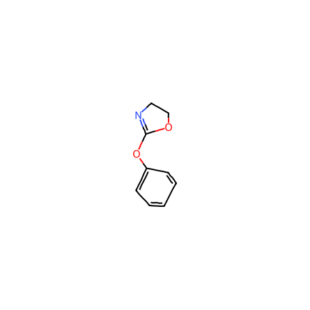 c1ccc(OC2=NCCO2)cc1